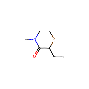 CCC(SC)C(=O)N(C)C